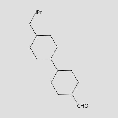 CC(C)CC1CCC(C2CCC(C=O)CC2)CC1